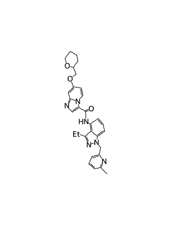 CCc1nn(Cc2cccc(C)n2)c2cccc(NC(=O)c3cnc4cc(OCC5CCCCO5)ccn34)c12